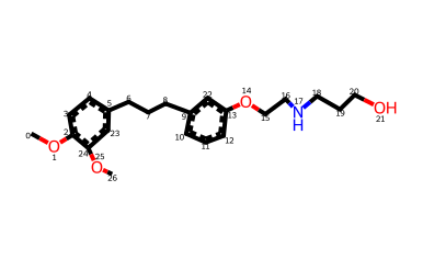 COc1ccc(CCCc2cccc(OCCNCCCO)c2)cc1OC